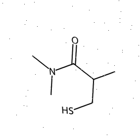 CC(CS)C(=O)N(C)C